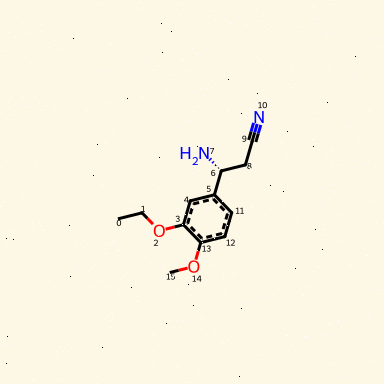 CCOc1cc([C@H](N)CC#N)ccc1OC